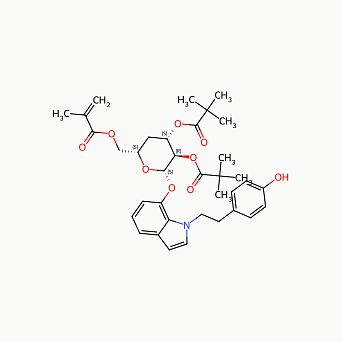 C=C(C)C(=O)OC[C@@H]1C[C@H](OC(=O)C(C)(C)C)[C@@H](OC(=O)C(C)(C)C)[C@H](Oc2cccc3ccn(CCc4ccc(O)cc4)c23)O1